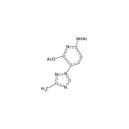 CC(=O)Nc1ccc(-n2cnc(C)n2)c(OC(C)=O)n1